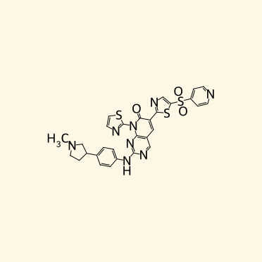 CN1CCC(c2ccc(Nc3ncc4cc(-c5ncc(S(=O)(=O)c6ccncc6)s5)c(=O)n(-c5nccs5)c4n3)cc2)C1